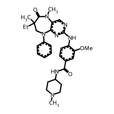 CCC1(C)CN(c2ccccc2)c2nc(Nc3ccc(C(=O)NC4CCN(C)CC4)cc3OC)ncc2N(C)C1=O